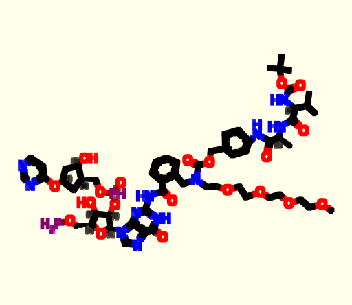 COCCOCCOCCOCCN(Cc1ccccc1C(=O)Nc1nc2c(ncn2[C@@H]2O[C@H](COP)[C@@H](O)[C@H]2O[PH](=O)OC[C@H]2C[C@@H](Oc3ccncn3)C[C@@H]2O)c(=O)[nH]1)C(=O)OCc1ccc(NC(=O)[C@H](C)NC(=O)[C@@H](NC(=O)OC(C)(C)C)C(C)C)cc1